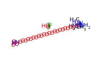 CCCCc1nc2c(N)nnc(OC(C)C)c2n1C[C@H]1CC[C@H](CNC(=O)CCOCCOCCOCCOCCOCCOCCOCCOCCOCCOCCOCCOCCOCCOCCOCCOCCOCCOCCOCCOCCNC(=O)CCN2C(=O)C=CC2=O)CC1.O=C(O)C(F)(F)F